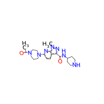 CC(=O)N1CCCN(c2ccc3c(C(=O)NC4CCNCC4)nn(C)c3n2)CC1